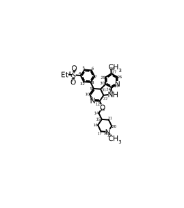 CCS(=O)(=O)c1cccc(C2=CN=C(OCC3CCN(C)CC3)C3Nc4ncc(C)cc4C23)c1